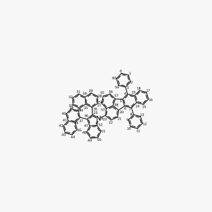 c1ccc(-c2c3c(c(-c4ccccc4)c4ccccc24)-c2ccc(-n4c(-c5cccc6ccccc56)c(-c5cccc6ccccc56)c5ccccc54)c4cccc-3c24)cc1